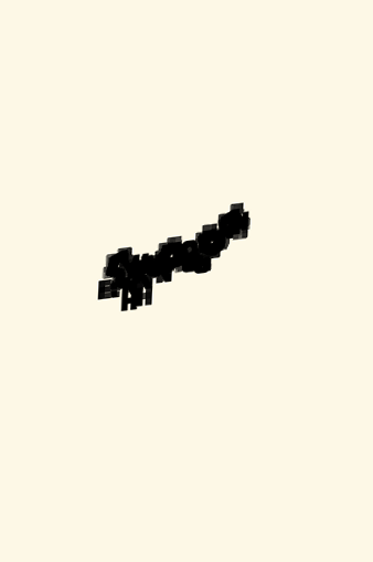 CCC(NC(=O)Nc1nc2cc(OS(=O)(=O)c3ccc(-n4ccnc4)cc3)ccc2[nH]1)C1CCCN1